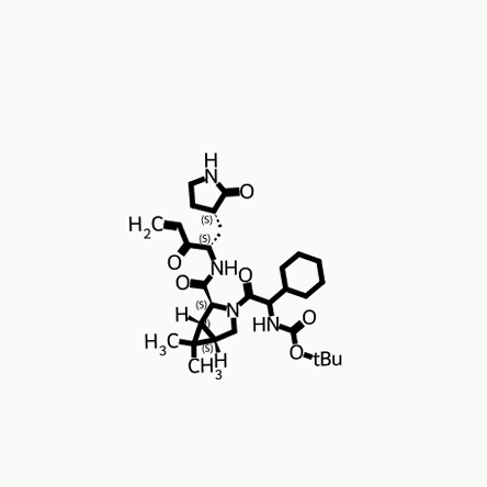 C=CC(=O)[C@H](C[C@@H]1CCNC1=O)NC(=O)[C@@H]1[C@@H]2[C@H](CN1C(=O)C(NC(=O)OC(C)(C)C)C1CCCCC1)C2(C)C